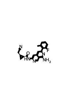 Cc1cccc(F)c1-c1cc2cc(NC(=O)[C@@H]3C[C@H]3CC#N)ncc2c(N)n1